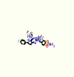 Cc1cc(S(N)(=O)=O)ccc1CNc1nc(NCC(F)(F)F)c2nc(-c3ccc(F)cc3)ccc2n1